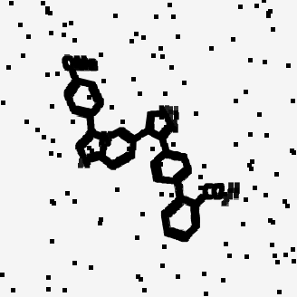 COc1ccc(-c2cnc3ccc(-c4c[nH]nc4-c4ccc(-c5ccccc5C(=O)O)cc4)cn23)cc1